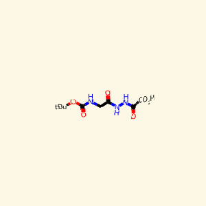 CC(C)(C)OC(=O)NCC(=O)NNC(=O)C(=O)O